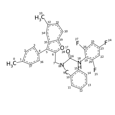 Cc1ccc(-c2c(CN(Cc3ccccc3)C(=O)Nc3c(F)cc(F)cc3F)oc3ccc(C)cc23)cc1